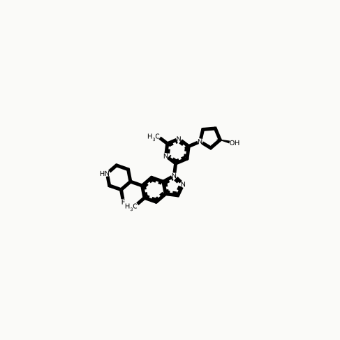 Cc1nc(N2CC[C@@H](O)C2)cc(-n2ncc3cc(C)c(C4CCNCC4F)cc32)n1